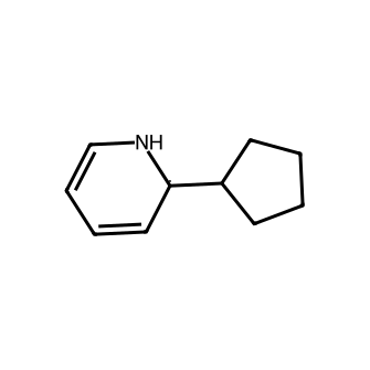 C1=CN[C](C2CCCC2)C=C1